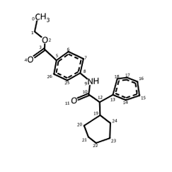 CCOC(=O)c1ccc(NC(=O)C(c2ccccc2)C2CCCCC2)cc1